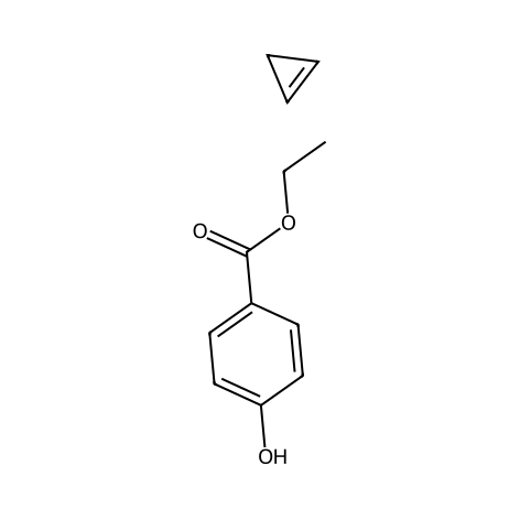 C1=CC1.CCOC(=O)c1ccc(O)cc1